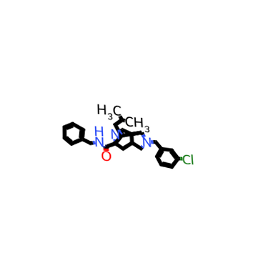 CC(C)CC1C2C3C=NC1(C(=O)NCc1ccccc1)CC3CN2Cc1cccc(Cl)c1